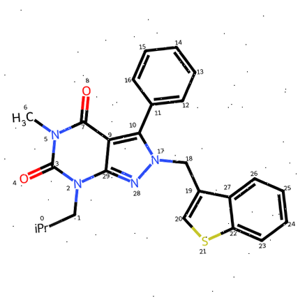 CC(C)Cn1c(=O)n(C)c(=O)c2c(-c3ccccc3)n(Cc3csc4ccccc34)nc21